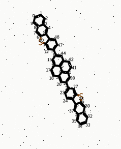 c1ccc2cc3c(cc2c1)sc1cc(-c2cc4ccc5cc(-c6ccc7c(c6)sc6cc8ccccc8cc67)cc6ccc(c2)c4c56)ccc13